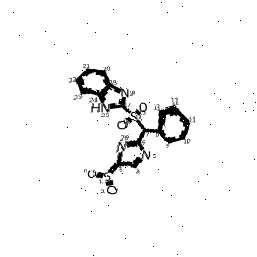 O=S(=O)=C1C=NC(C(c2ccccc2)S(=O)(=O)c2nc3ccccc3[nH]2)=N1